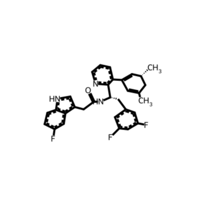 CC1=CC(c2cccnc2[C@H](Cc2cc(F)cc(F)c2)NC(=O)Cc2c[nH]c3ccc(F)cc23)=C[C@H](C)C1